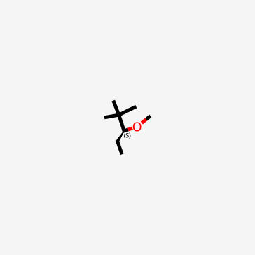 CC[C@H](OC)C(C)(C)C